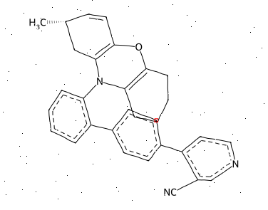 C[C@@H]1C=CC2=C(C1)N(c1ccccc1-c1ccc(-c3ccncc3C#N)cc1)C1=C(CCCC1)O2